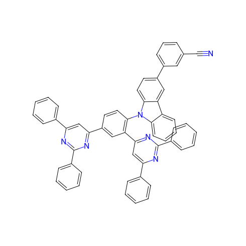 N#Cc1cccc(-c2ccc3c(c2)c2ccccc2n3-c2ccc(-c3cc(-c4ccccc4)nc(-c4ccccc4)n3)cc2-c2cc(-c3ccccc3)nc(-c3ccccc3)n2)c1